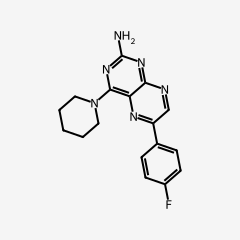 Nc1nc(N2CCCCC2)c2nc(-c3ccc(F)cc3)cnc2n1